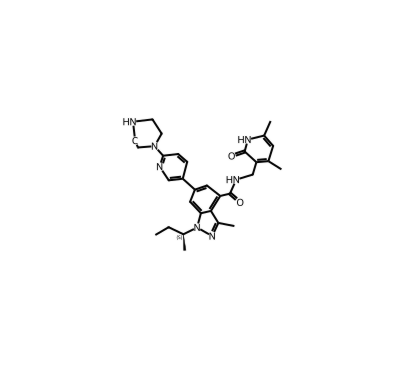 CC[C@H](C)n1nc(C)c2c(C(=O)NCc3c(C)cc(C)[nH]c3=O)cc(-c3ccc(N4CCNCC4)nc3)cc21